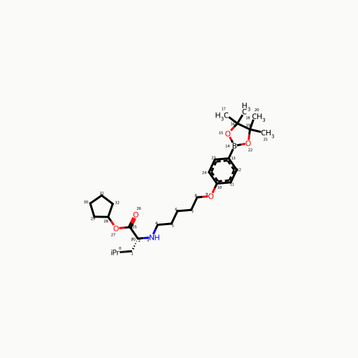 CC(C)C[C@@H](NCCCCCOc1ccc(B2OC(C)(C)C(C)(C)O2)cc1)C(=O)OC1CCCC1